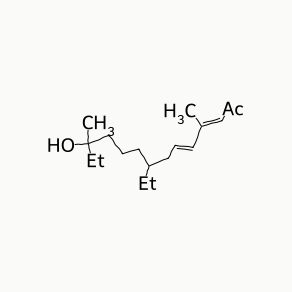 CCC(C/C=C/C(C)=C/C(C)=O)CCCC(C)(O)CC